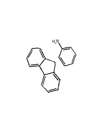 Nc1ccccc1.[CH]1c2ccccc2-c2ccccc21